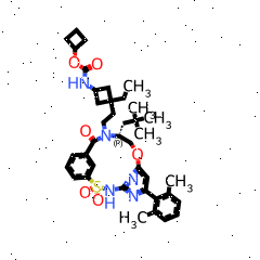 CCC1(CCN2C(=O)c3cccc(c3)S(=O)(=O)Nc3nc(cc(-c4c(C)cccc4C)n3)OC[C@H]2CC(C)(C)C)CC(NC(=O)OC2CCC2)C1